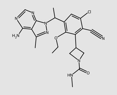 CCOc1c(C(C)n2nc(C)c3c(N)ncnc32)cc(Cl)c(C#N)c1C1CN(C(=O)NC)C1